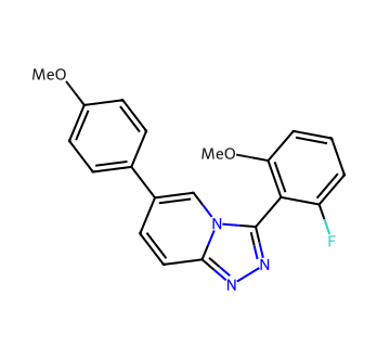 COc1ccc(-c2ccc3nnc(-c4c(F)cccc4OC)n3c2)cc1